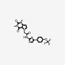 Cn1c(=O)c2c(ccn2CC(=O)Nc2nc(-c3ccc(OC(F)(F)F)cc3)cs2)n(C)c1=O